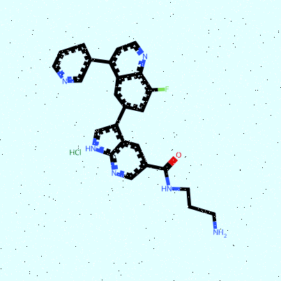 Cl.NCCCNC(=O)c1cnc2[nH]cc(-c3cc(F)c4nccc(-c5cccnc5)c4c3)c2c1